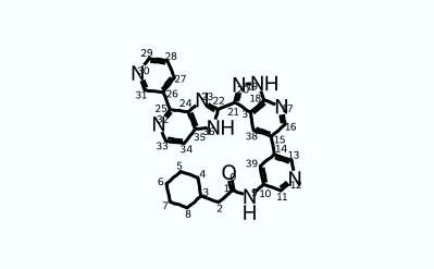 O=C(CC1CCCCC1)Nc1cncc(-c2cnc3[nH]nc(-c4nc5c(-c6cccnc6)nccc5[nH]4)c3c2)c1